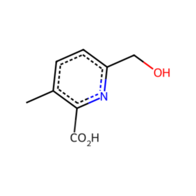 Cc1ccc(CO)nc1C(=O)O